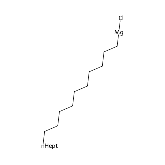 CCCCCCCCCCCCCCCC[CH2][Mg][Cl]